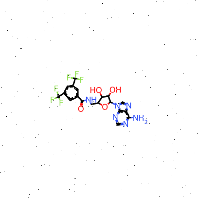 Nc1ncnc2c1ncn2C1OC(CNC(=O)c2cc(C(F)(F)F)cc(C(F)(F)F)c2)C(O)C1O